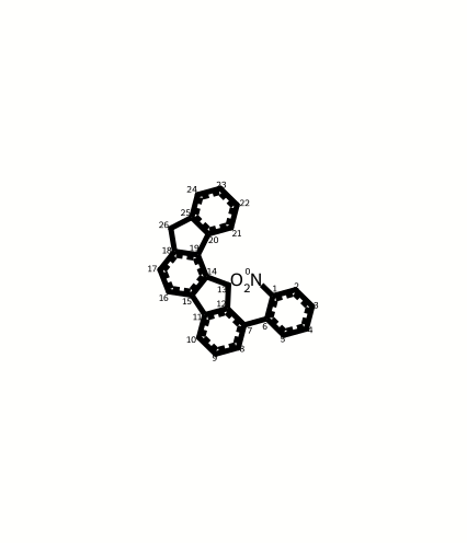 O=[N+]([O-])c1ccccc1-c1cccc2c1Cc1c-2ccc2c1-c1ccccc1C2